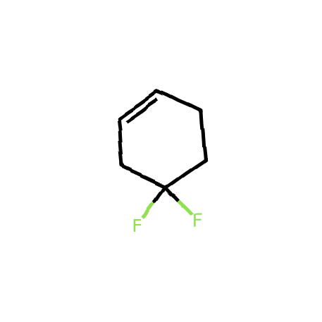 FC1(F)CC=CCC1